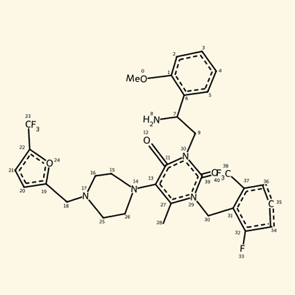 COc1ccccc1C(N)Cn1c(=O)c(N2CCN(Cc3ccc(C(F)(F)F)o3)CC2)c(C)n(Cc2c(F)cccc2C(F)(F)F)c1=O